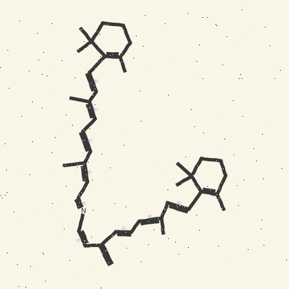 C=C(\C=C/N=C/C=C(C)/C=C/C=C(C)/C=C/C1=C(C)CCCC1(C)C)/C=C/C=C(C)/C=C/C1=C(C)CCCC1(C)C